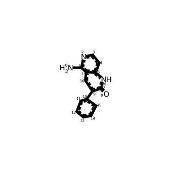 Nc1nccc2[nH]c(=O)c(-c3ccccc3)cc12